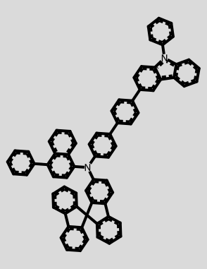 c1ccc(-c2ccc(N(c3ccc(-c4ccc(-c5ccc6c(c5)c5ccccc5n6-c5ccccc5)cc4)cc3)c3ccc4c(c3)C3(c5ccccc5-c5ccccc53)c3ccccc3-4)c3ccccc23)cc1